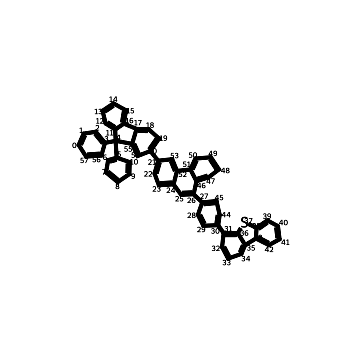 c1ccc(C2(c3ccccc3)c3ccccc3-c3ccc(-c4ccc5cc(-c6ccc(-c7cccc8c7sc7ccccc78)cc6)c6ccccc6c5c4)cc32)cc1